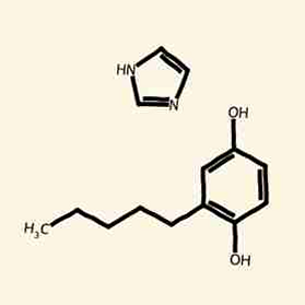 CCCCCc1cc(O)ccc1O.c1c[nH]cn1